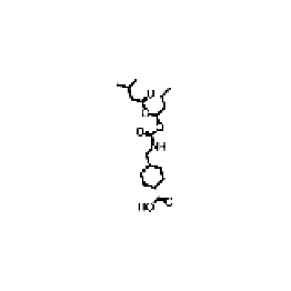 CCCC(OC(=O)CC(C)C)OC(=O)NC[C@H]1CC[C@H](C(=O)O)CC1